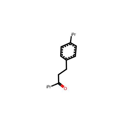 CC(C)C(=O)CCc1ccc(C(C)C)cc1